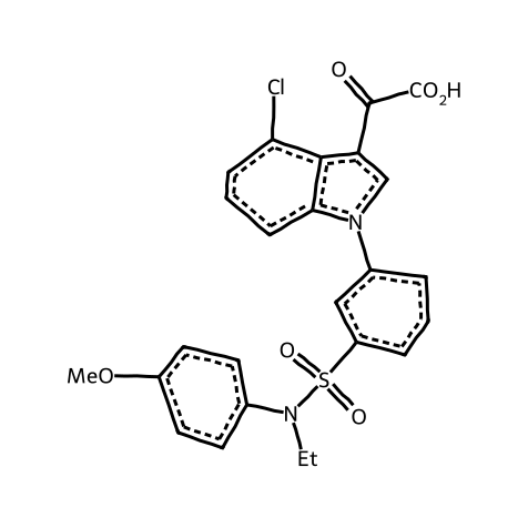 CCN(c1ccc(OC)cc1)S(=O)(=O)c1cccc(-n2cc(C(=O)C(=O)O)c3c(Cl)cccc32)c1